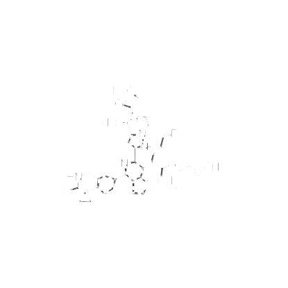 C=CC(=O)N1CCn2nc(-c3nc(-c4ccc5c(c4)CNC(=O)C54CC4)c4ccsc4c3/C(C(=C)OCCOC)=C(F)/C=C/F)cc2[C@H]1C